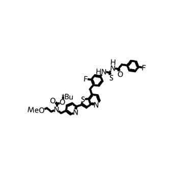 COCCN(Cc1ccc(-c2cc3nccc(Cc4ccc(NC(=S)NC(=O)Cc5ccc(F)cc5)cc4F)c3s2)nc1)C(=O)OC(C)(C)C